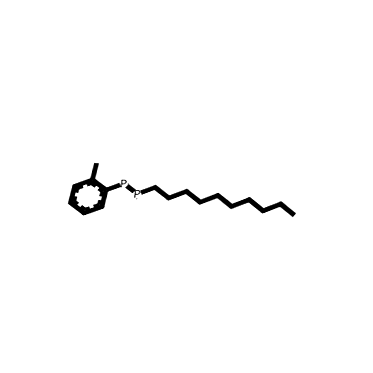 CCCCCCCCCC[P][P]c1ccccc1C